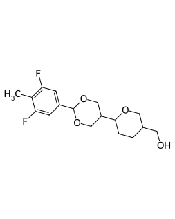 Cc1c(F)cc(C2OCC(C3CCC(CO)CO3)CO2)cc1F